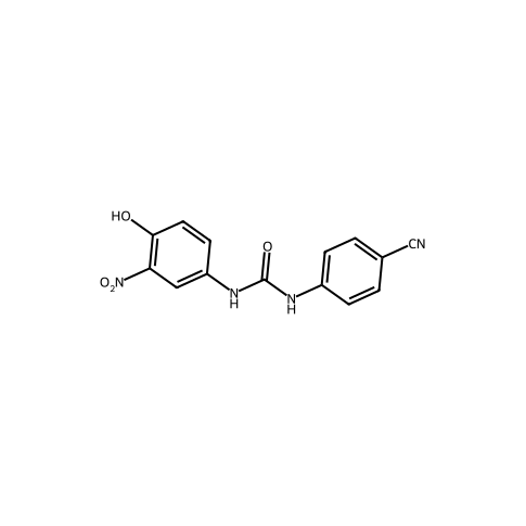 N#Cc1ccc(NC(=O)Nc2ccc(O)c([N+](=O)[O-])c2)cc1